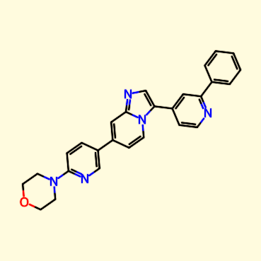 c1ccc(-c2cc(-c3cnc4cc(-c5ccc(N6CCOCC6)nc5)ccn34)ccn2)cc1